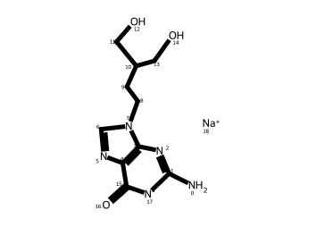 Nc1nc2c(ncn2CCC(CO)CO)c(=O)[n-]1.[Na+]